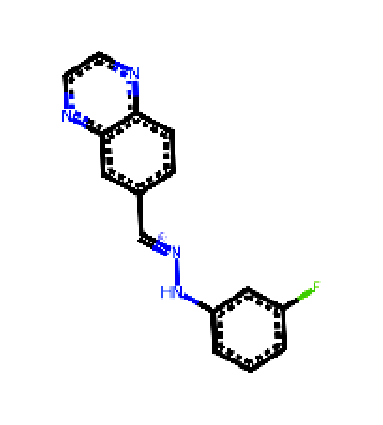 Fc1cccc(N/N=C/c2ccc3nccnc3c2)c1